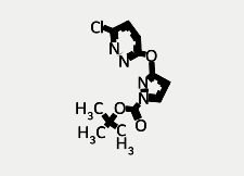 CC(C)(C)OC(=O)n1ccc(Oc2ccc(Cl)nn2)n1